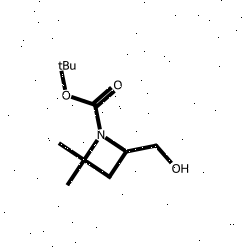 CC(C)(C)OC(=O)N1C(CO)CC1(C)C